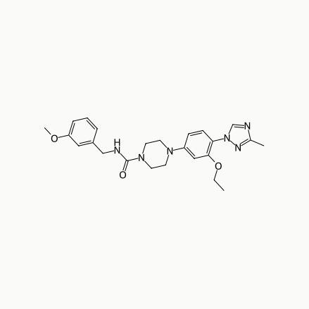 CCOc1cc(N2CCN(C(=O)NCc3cccc(OC)c3)CC2)ccc1-n1cnc(C)n1